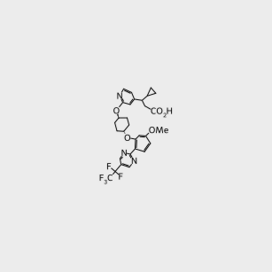 COc1ccc(-c2ncc(C(F)(F)C(F)(F)F)cn2)c(O[C@H]2CC[C@H](Oc3cc(C(CC(=O)O)C4CC4)ccn3)CC2)c1